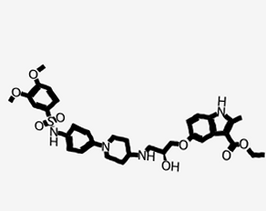 CCOC(=O)c1c(C)[nH]c2ccc(OC[C@@H](O)CNC3CCN(c4ccc(NS(=O)(=O)c5ccc(OC)c(OC)c5)cc4)CC3)cc12